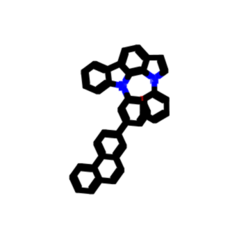 c1ccc(-n2ccc3ccc4c5ccccc5n(-c5cccc(-c6ccc7c(ccc8ccccc87)c6)c5)c4c32)cc1